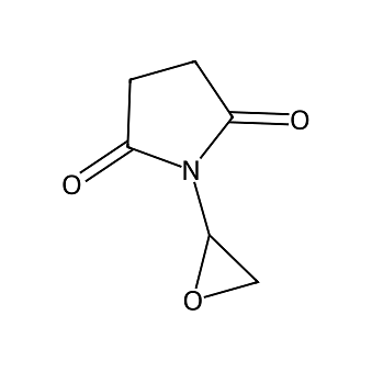 O=C1CCC(=O)N1C1CO1